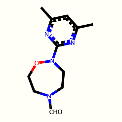 Cc1cc(C)nc(N2CCN(C=O)CCO2)n1